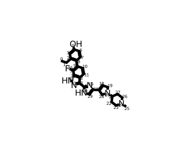 CCc1cc(O)ccc1-c1ccc2c(-c3nc(C4=CCN(C5CCN(C)CC5)C4)c[nH]3)n[nH]c2c1F